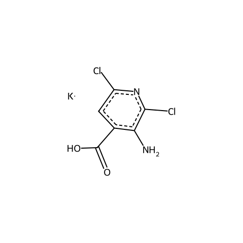 Nc1c(C(=O)O)cc(Cl)nc1Cl.[K]